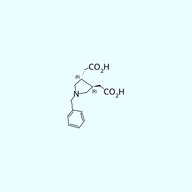 O=C(O)C[C@H]1CN(Cc2ccccc2)C[C@@H]1CC(=O)O